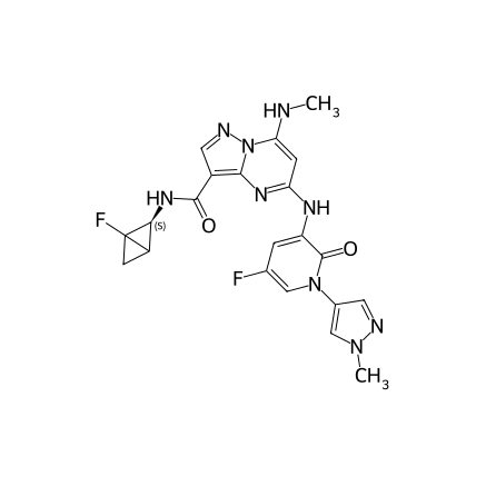 CNc1cc(Nc2cc(F)cn(-c3cnn(C)c3)c2=O)nc2c(C(=O)N[C@H]3C4CC43F)cnn12